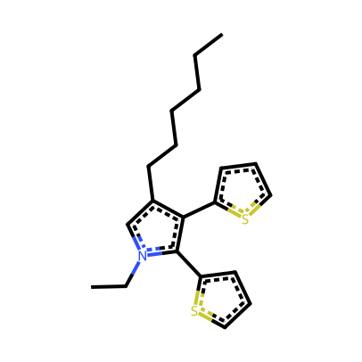 CCCCCCc1cn(CC)c(-c2cccs2)c1-c1cccs1